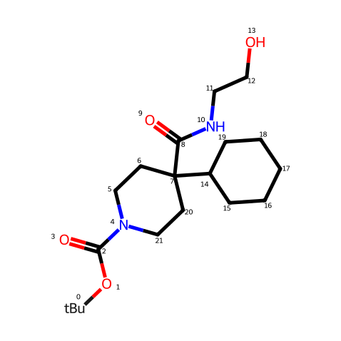 CC(C)(C)OC(=O)N1CCC(C(=O)NCCO)(C2CCCCC2)CC1